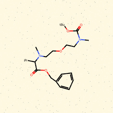 CC(C)C(C(=O)OCc1ccccc1)N(C)CCOCCN(C)C(=O)OC(C)(C)C